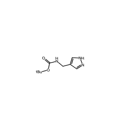 CC(C)(C)OC(=O)NCc1cn[nH]c1